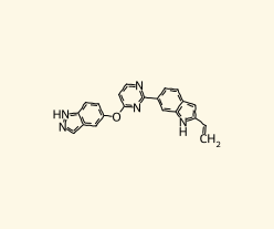 C=Cc1cc2ccc(-c3nccc(Oc4ccc5[nH]ncc5c4)n3)cc2[nH]1